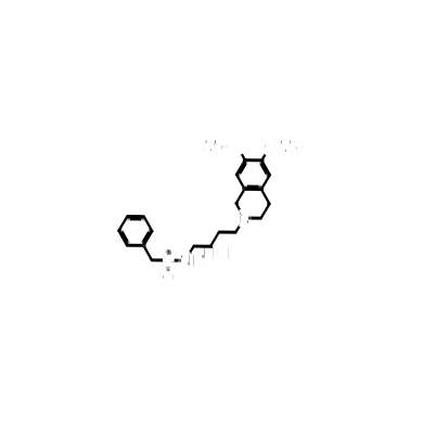 COc1cc2c(cc1OC)CN(CCCCNS(=O)(=O)Cc1ccccc1)CC2.Cl